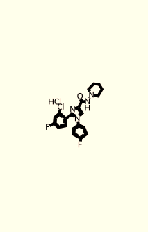 Cl.O=C(NN1CCCCC1)c1cn(-c2ccc(F)cc2)c(-c2ccc(F)cc2Cl)n1